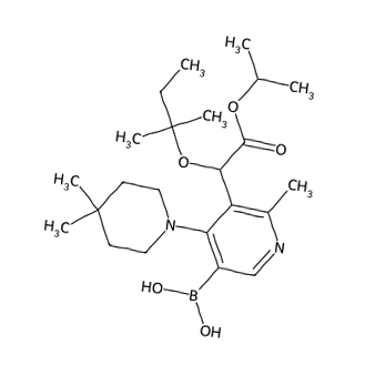 CCC(C)(C)OC(C(=O)OC(C)C)c1c(C)ncc(B(O)O)c1N1CCC(C)(C)CC1